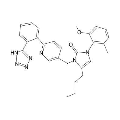 CCCCc1cn(-c2c(C)cccc2OC)c(=O)n1Cc1ccc(-c2ccccc2-c2nnn[nH]2)nc1